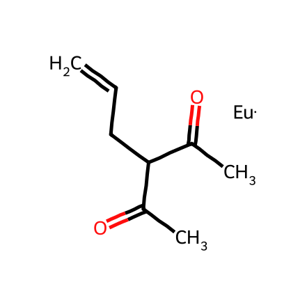 C=CCC(C(C)=O)C(C)=O.[Eu]